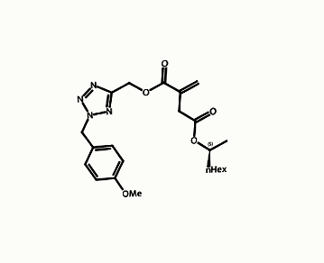 C=C(CC(=O)O[C@@H](C)CCCCCC)C(=O)OCc1nnn(Cc2ccc(OC)cc2)n1